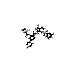 CN1CCN(c2ccc(C(=O)Nc3n[nH]c4c3CN(S(=O)(=O)c3cc(F)cc(F)c3)CC4)c(NC(=O)c3ncc[nH]3)c2)CC1